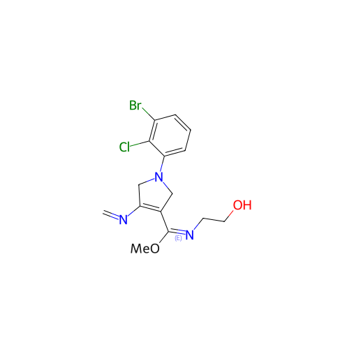 C=NC1=C(/C(=N\CCO)OC)CN(c2cccc(Br)c2Cl)C1